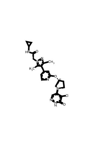 Cc1nn(CC(=O)NC2CC2)c(C)c1-c1ccnc(O[C@@H]2CCN(c3cn[nH]c(=O)c3Cl)C2)c1